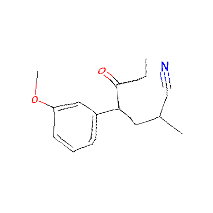 CCC(=O)C(CC(C)C#N)c1cccc(OC)c1